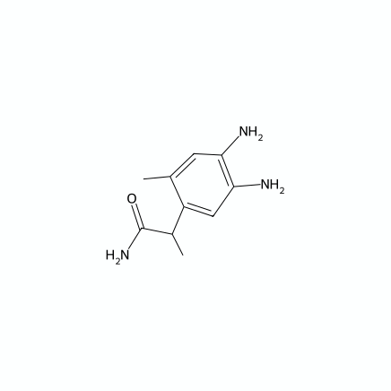 Cc1cc(N)c(N)cc1C(C)C(N)=O